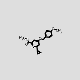 COC(=O)c1cc(OCc2ccc(OC)cc2)cc(C2CC2)n1